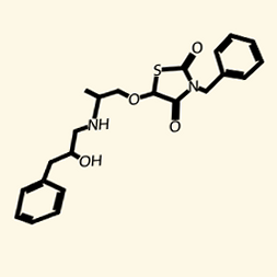 CC(COC1SC(=O)N(Cc2ccccc2)C1=O)NCC(O)Cc1ccccc1